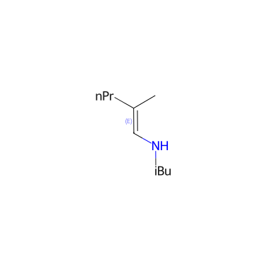 CCC/C(C)=C/NC(C)CC